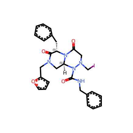 O=C1[C@H](Cc2ccccc2)N2C(=O)CN(CI)N(C(=O)NCc3ccccc3)[C@H]2CN1Cc1ccco1